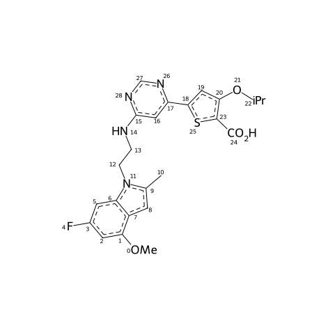 COc1cc(F)cc2c1cc(C)n2CCNc1cc(-c2cc(OC(C)C)c(C(=O)O)s2)ncn1